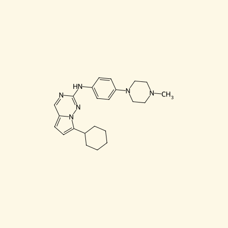 CN1CCN(c2ccc(Nc3ncc4ccc(C5CCCCC5)n4n3)cc2)CC1